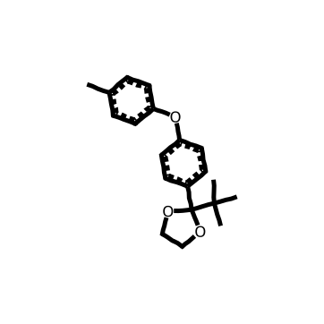 Cc1ccc(Oc2ccc(C3(C(C)(C)C)OCCO3)cc2)cc1